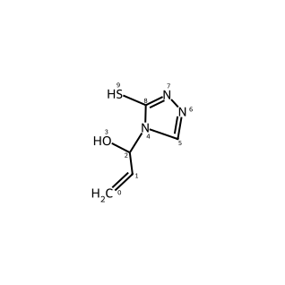 C=CC(O)n1cnnc1S